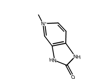 C[n+]1ccc2[nH]c(=O)[nH]c2c1